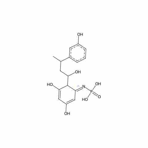 CC(CC(O)C1C(O)=CC(O)=C/C1=N\P(=O)(O)O)c1cccc(O)c1